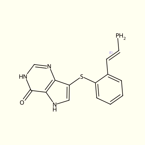 O=c1[nH]cnc2c(Sc3ccccc3/C=C/P)c[nH]c12